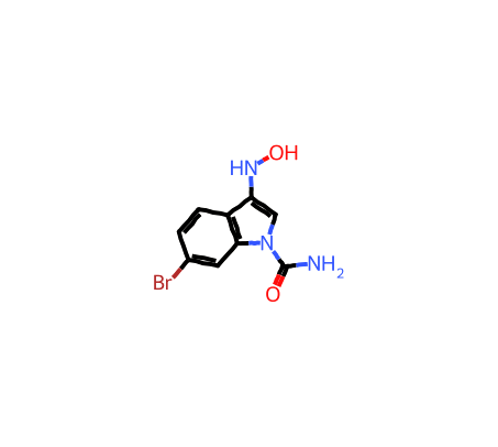 NC(=O)n1cc(NO)c2ccc(Br)cc21